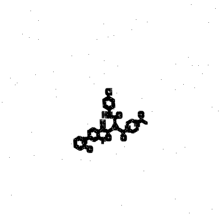 CC(=O)N1CCN(C(=O)C2C(C(=O)Nc3ccc(Cl)cc3)C2C(=O)Nc2ccc(-n3ccccc3=O)cc2F)CC1